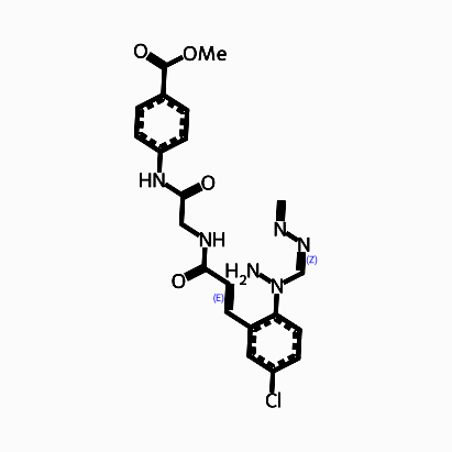 C=N/N=C\N(N)c1ccc(Cl)cc1/C=C/C(=O)NCC(=O)Nc1ccc(C(=O)OC)cc1